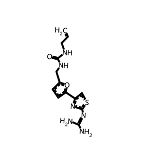 C=CCNC(=O)NCc1ccc(-c2csc(N=C(N)N)n2)o1